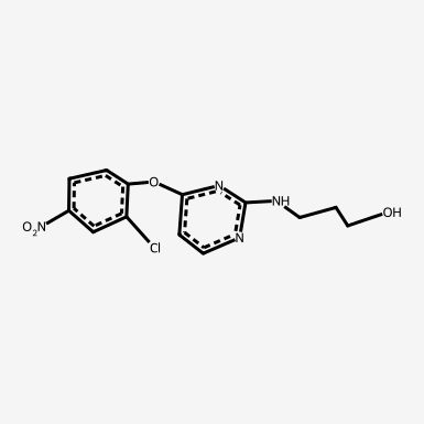 O=[N+]([O-])c1ccc(Oc2ccnc(NCCCO)n2)c(Cl)c1